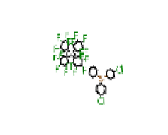 Clc1ccc([S+](c2ccccc2)c2ccc(Cl)cc2)cc1.Fc1c(F)c(F)[c]([Ga-]([c]2c(F)c(F)c(F)c(F)c2F)([c]2c(F)c(F)c(F)c(F)c2F)[c]2c(F)c(F)c(F)c(F)c2F)c(F)c1F